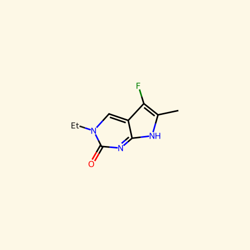 CCn1cc2c(F)c(C)[nH]c2nc1=O